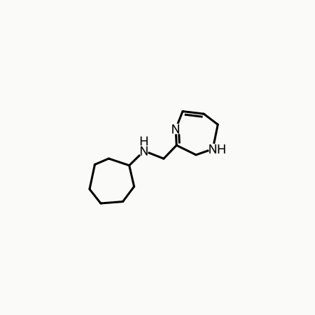 C1=CN=C(CNC2CCCCCC2)CNC1